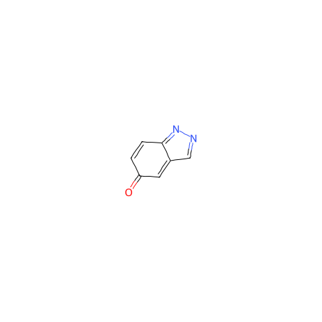 O=C1C=CC2=NN=CC2=C1